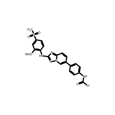 CCC(=O)Nc1ccc(-c2ccc3nc(Nc4ccc(S(C)(=O)=O)cc4OC)nn3c2)cc1